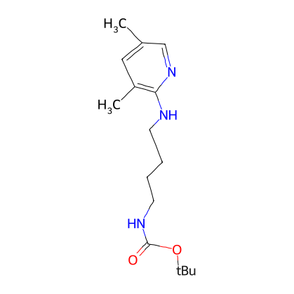 Cc1cnc(NCCCCNC(=O)OC(C)(C)C)c(C)c1